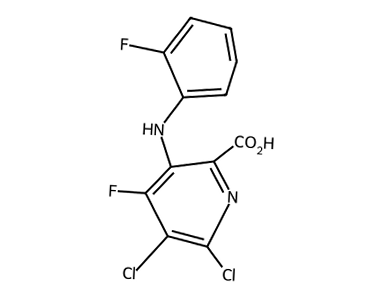 O=C(O)c1nc(Cl)c(Cl)c(F)c1Nc1ccccc1F